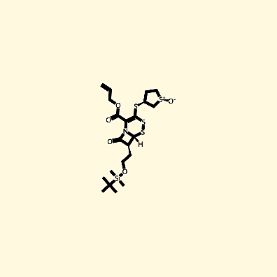 C=CCOC(=O)C1=C(S[C@H]2CC[S@@+]([O-])C2)SS[C@@H]2[C@@H](CCO[Si](C)(C)C(C)(C)C)C(=O)N12